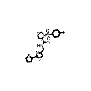 O=C(NCc1csc(-c2cccs2)n1)[C@H]1CSCN1S(=O)(=O)c1ccc(F)cc1